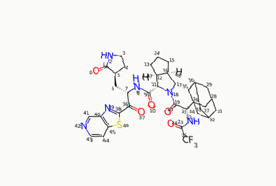 O=C1NCC[C@H]1C[C@H](NC(=O)[C@@H]1[C@H]2CCC[C@H]2CN1C(=O)[C@@H](NC(=O)C(F)(F)F)C12CC3CC(CC(C3)C1)C2)C(=O)c1nc2cnccc2s1